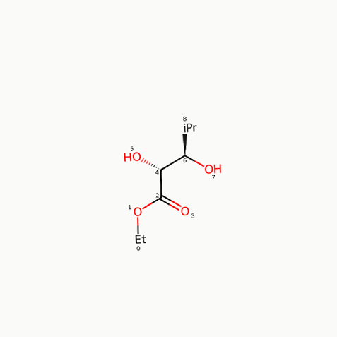 CCOC(=O)[C@H](O)[C@H](O)C(C)C